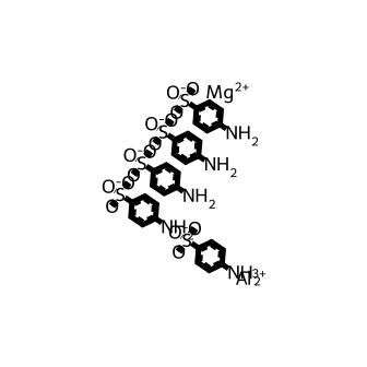 Nc1ccc(S(=O)(=O)[O-])cc1.Nc1ccc(S(=O)(=O)[O-])cc1.Nc1ccc(S(=O)(=O)[O-])cc1.Nc1ccc(S(=O)(=O)[O-])cc1.Nc1ccc(S(=O)(=O)[O-])cc1.[Al+3].[Mg+2]